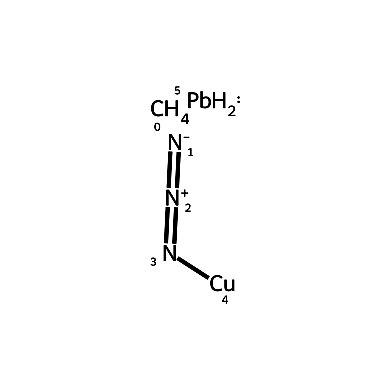 C.[N-]=[N+]=[N][Cu].[PbH2]